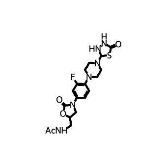 CC(=O)NCC1CN(c2ccc(N3CCN(C4NNC(=O)S4)CC3)c(F)c2)C(=O)O1